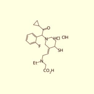 CCN(CC=C1CN(C(C(=O)C2CC2)c2ccccc2F)CCC1S)CC(=O)O.Cl.Cl